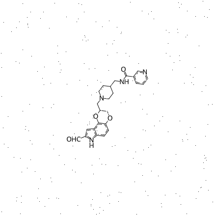 O=Cc1cc2c3c(ccc2[nH]1)OCC(CN1CCC(CNC(=O)c2cccnc2)CC1)O3